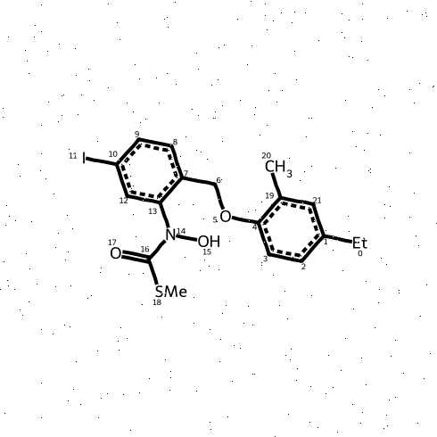 CCc1ccc(OCc2ccc(I)cc2N(O)C(=O)SC)c(C)c1